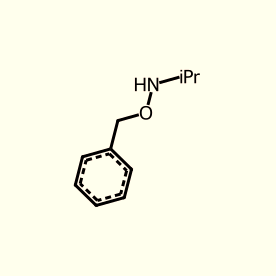 CC(C)NOCc1ccccc1